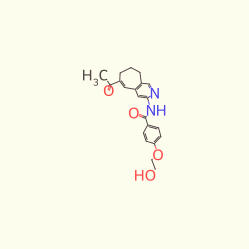 CC(=O)C1=Cc2cc(NC(=O)c3ccc(OCCO)cc3)ncc2CCC1